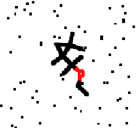 CCOC(C)(C)C1(C)CC1(C)C